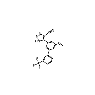 COc1cc(-c2cc(C(F)(F)F)ccn2)cc(-c2[nH]nnc2C#N)c1